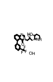 Cl.O=C(C[C@H]1NCCC[C@@H]1O)Cn1cnc2cccc(-c3cccc(C(F)(F)F)c3)c2c1=O